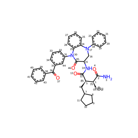 CCCC[C@H](C(N)=O)[C@@H](CC1CCCC1)C(=O)NC1CN(c2ccccc2)c2ccccc2N(c2cccc(C(=O)c3ccccc3)c2)C1=O